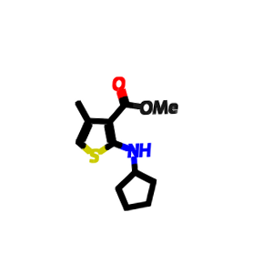 COC(=O)c1c(C)csc1NC1CCCC1